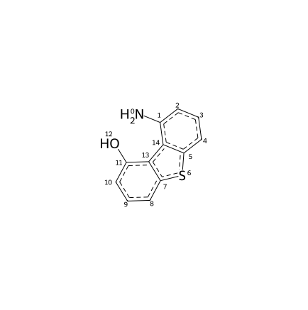 Nc1cccc2sc3cccc(O)c3c12